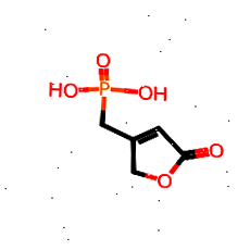 O=C1C=C(CP(=O)(O)O)CO1